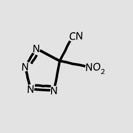 N#CC1([N+](=O)[O-])N=NN=N1